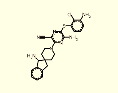 N#Cc1nc(Sc2cccc(N)c2Cl)c(N)nc1N1CCC2(CC1)Cc1ccccc1[C@H]2N